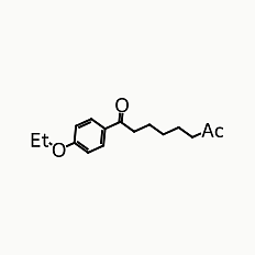 CCOc1ccc(C(=O)CCCCCC(C)=O)cc1